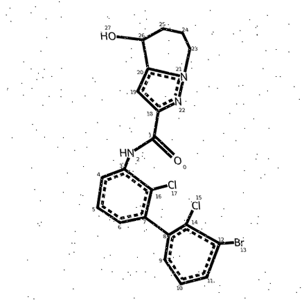 O=C(Nc1cccc(-c2cccc(Br)c2Cl)c1Cl)c1cc2n(n1)CCCC2O